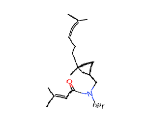 CCCN(CC1CC1(C)CCC=C(C)C)C(=O)C=C(C)C